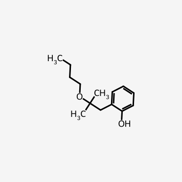 CCCCOC(C)(C)Cc1ccccc1O